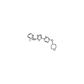 Cc1cccnc1Nc1nnc(-c2ccc(OC3CCOCC3)cn2)s1